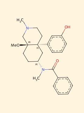 CO[C@]12CC[C@@H](N(C)C(=O)c3ccccc3)C[C@]1(c1cccc(O)c1)CCN(C)C2